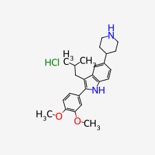 COc1ccc(-c2[nH]c3ccc(C4CCNCC4)cc3c2CC(C)C)cc1OC.Cl